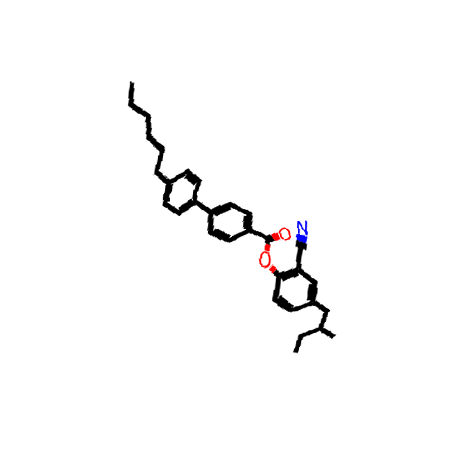 CCCCCCc1ccc(-c2ccc(C(=O)Oc3ccc(CC(C)CC)cc3C#N)cc2)cc1